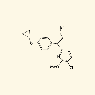 COc1nc(C(=CCBr)c2ccc(SC3CC3)cc2)ccc1Cl